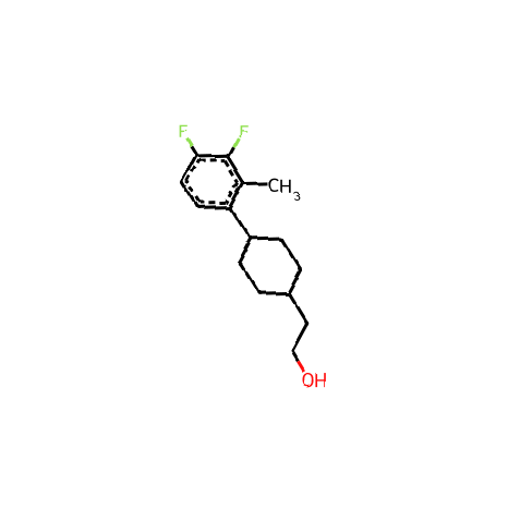 Cc1c(C2CCC(CCO)CC2)ccc(F)c1F